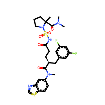 CN(C)C(=O)C1(C)CCCN1S(=O)(=O)NC(=O)CC[C@@H](Cc1cc(F)cc(F)c1)C(=O)N(C)c1ccc2scnc2c1